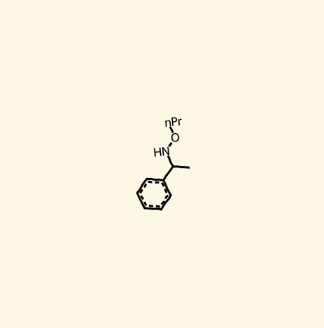 CCCONC(C)c1ccccc1